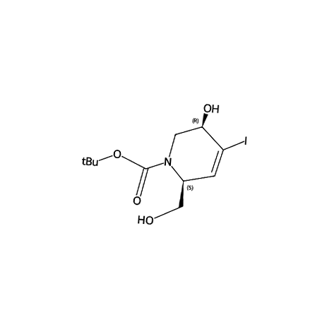 CC(C)(C)OC(=O)N1C[C@@H](O)C(I)=C[C@H]1CO